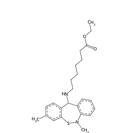 CCOC(=O)CCCCCCNC1c2ccc(C)cc2SN(C)c2ccccc21